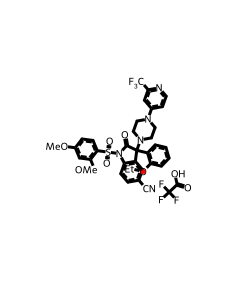 CCOc1ccccc1C1(N2CCN(c3ccnc(C(F)(F)F)c3)CC2)C(=O)N(S(=O)(=O)c2ccc(OC)cc2OC)c2ccc(C#N)cc21.O=C(O)C(F)(F)F